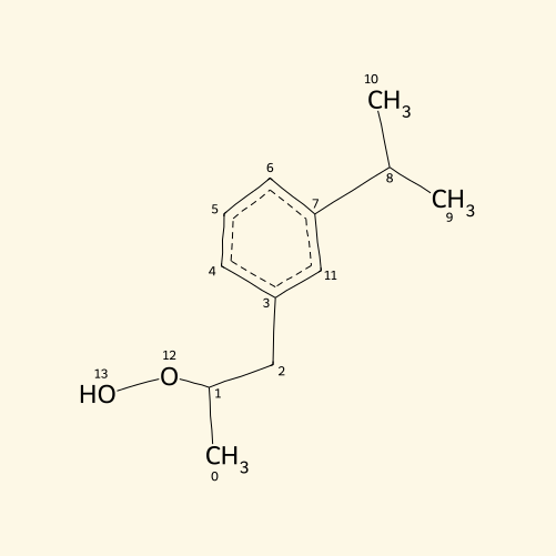 CC(Cc1cccc(C(C)C)c1)OO